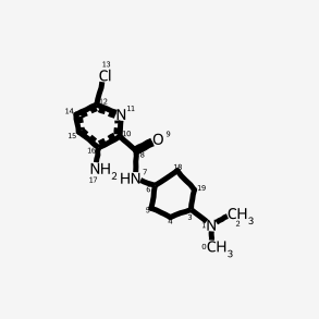 CN(C)C1CCC(NC(=O)c2nc(Cl)ccc2N)CC1